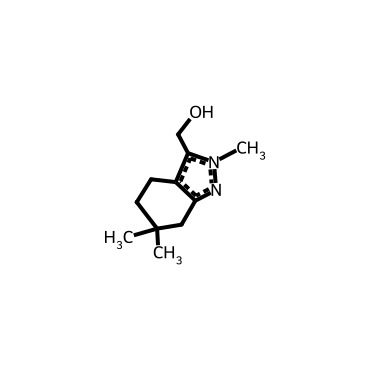 Cn1nc2c(c1CO)CCC(C)(C)C2